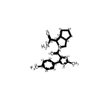 Cc1nc(C(=O)N2CC3CCCC3C2C(N)=O)c(-c2ccc(C(F)(F)F)cc2)s1